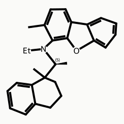 CCN(c1c(C)ccc2c1oc1ccccc12)[C@@H](C)C1(C)CCCc2ccccc21